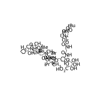 CC[C@H](C)[C@H]([C@@H](CC(=O)N1CCC[C@H]1[C@H](OC)[C@@H](C)C(=O)N[C@H](C)[C@@H](O)c1ccccc1)OC)N(C)C(=O)[C@@H](NC(=O)[C@H](C(C)C)N(C)C(=O)OCc1cc(F)c(O[C@@H]2O[C@H](C(=O)O)[C@@H](O)[C@H](O)[C@H]2O)c(NC(=O)CCNC(=O)OCC[C@H](CNC(=O)OC(C)(C)C)N2C(=O)C=CC2=O)c1)C(C)C